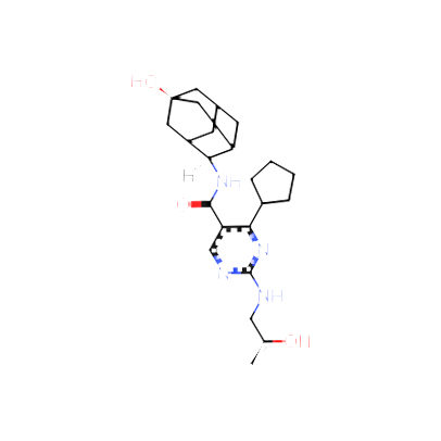 C[C@H](O)CNc1ncc(C(=O)N[C@H]2C3CC4CC2C[C@@](O)(C4)C3)c(C2CCCC2)n1